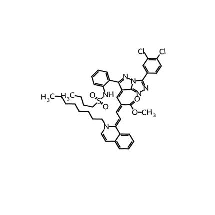 CCCCCCCCN1C=Cc2ccccc2/C1=C/C=C(/C=c1/c(-c2ccccc2NS(=O)(=O)CCCC)nn2c(-c3ccc(Cl)c(Cl)c3)nnc12)C(=O)OC